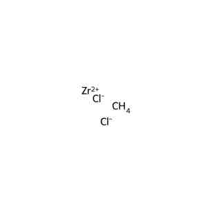 C.[Cl-].[Cl-].[Zr+2]